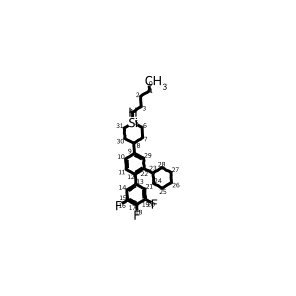 CCCCC[SiH]1CCC(c2ccc(-c3cc(F)c(F)c(F)c3)c(C3CCCCC3)c2)CC1